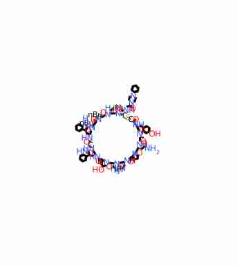 CCCC[C@H]1C(=O)N(C)[C@@H](CCCC)C(=O)N[C@@H](CC(C)C)C(=O)N[C@H](C(=O)NCC(=O)N2CCN(c3ccccc3)CC2)CSCC(=O)N[C@@H](Cc2ccc(O)cc2)C(=O)N(C)[C@@H](C)C(=O)N[C@@H](CC(N)=O)C(=O)N2CCC[C@H]2C(=O)N[C@@H](CN)C(=O)N[C@@H](CC(C)C)C(=O)N2C[C@H](O)C[C@H]2C(=O)N[C@@H](Cc2c[nH]c3ccccc23)C(=O)NCC(=O)NC(Cc2c[nH]c3ccccc23)C(=O)N1C